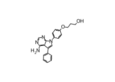 Nc1ncnc2c1c(-c1ccccc1)cn2-c1ccc(OCCCO)cc1